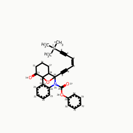 C[Si](C)(C)C#C/C=C\C#CC12OC3(C(=O)CCCC31)c1ccccc1N2C(=O)Oc1ccccc1